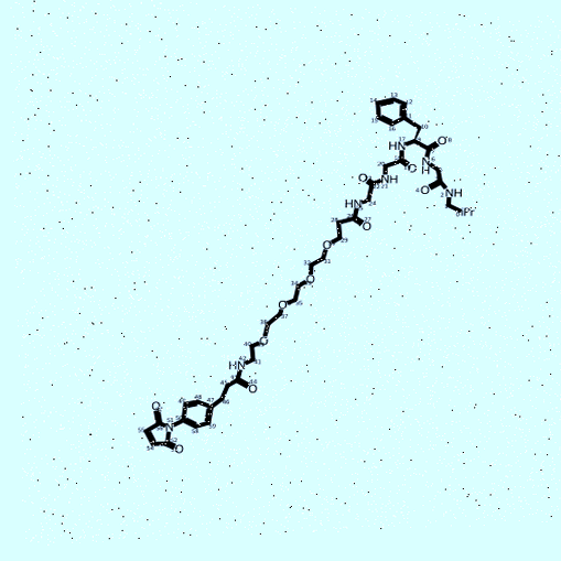 CC(C)CNC(=O)CNC(=O)[C@H](Cc1ccccc1)NC(=O)CNC(=O)CNC(=O)CCOCCOCCOCCOCCNC(=O)CCc1ccc(N2C(=O)C=CC2=O)cc1